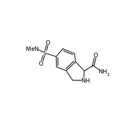 CNS(=O)(=O)c1ccc2c(c1)CNC2C(N)=O